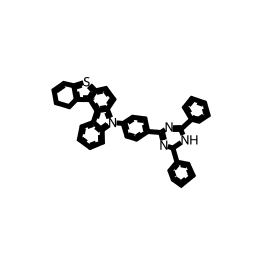 C1=Cc2sc3ccc4c(c5ccccc5n4-c4ccc(C5=NC(c6ccccc6)NC(c6ccccc6)=N5)cc4)c3c2CC1